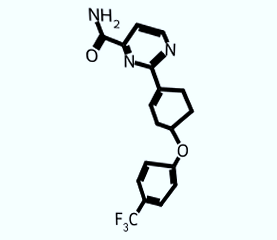 NC(=O)c1ccnc(C2=CCC(Oc3ccc(C(F)(F)F)cc3)CC2)n1